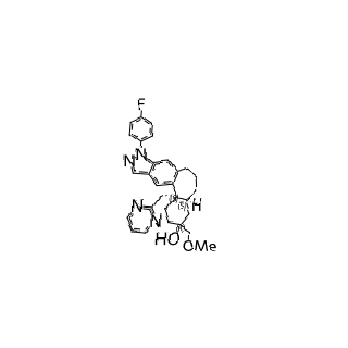 COC[C@@]1(O)CC[C@@]2(Cc3ncccn3)c3cc4cnn(-c5ccc(F)cc5)c4cc3CCC[C@H]2C1